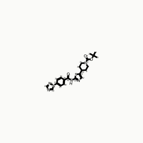 CC(C)(C)OC(=O)N1CCC(c2cnc(NC(=O)c3ccc(-n4cncn4)cc3)s2)CC1